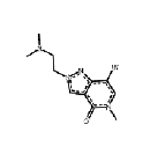 CN(C)CCn1cc2c(=O)n(C)cc(Br)c2n1